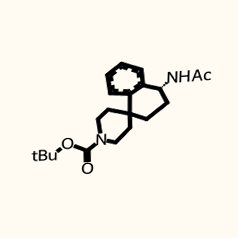 CC(=O)N[C@@H]1CCC2(CCN(C(=O)OC(C)(C)C)CC2)c2ccccc21